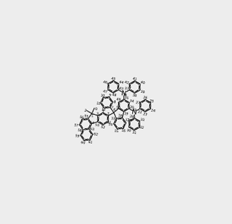 CC1(C)c2cc(C3(c4ccccc4)c4ccccc4-c4c(N(c5ccccc5)c5ccccc5)cc(N(c5ccccc5)c5ccccc5)cc43)ccc2-c2c1ccc1ccccc21